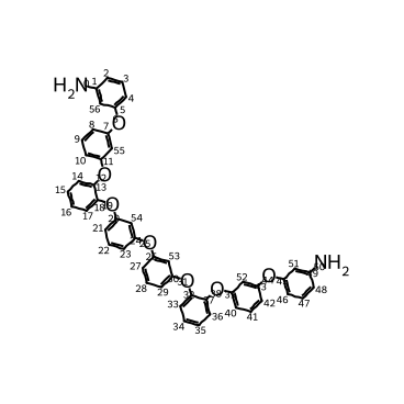 Nc1cccc(Oc2cccc(Oc3ccccc3Oc3cccc(Oc4cccc(Oc5ccccc5Oc5cccc(Oc6cccc(N)c6)c5)c4)c3)c2)c1